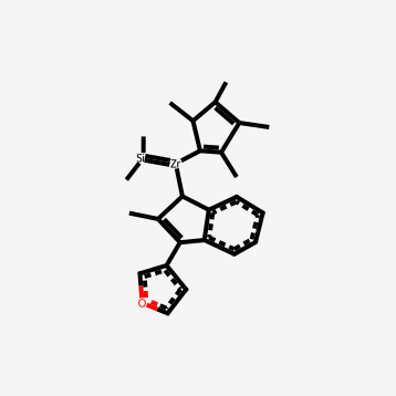 CC1=C(C)C(C)[C]([Zr]([CH]2C(C)=C(c3ccoc3)c3ccccc32)=[Si](C)C)=C1C